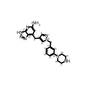 Nc1cc(Cc2cnn(Cc3cccc(N4CCNCC4)c3)c2)c2nn[nH]c2n1